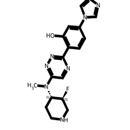 CN(c1cnc(-c2ccc(-n3ccnc3)cc2O)nn1)[C@H]1CCNC[C@@H]1F